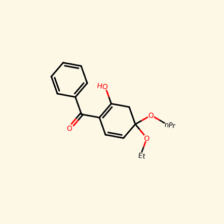 CCCOC1(OCC)C=CC(C(=O)c2ccccc2)=C(O)C1